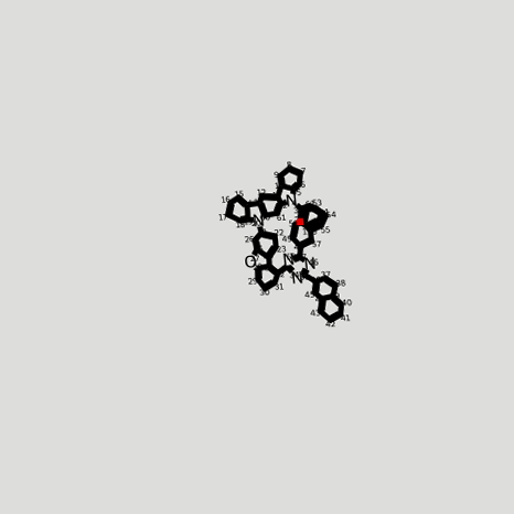 c1ccc(-n2c3ccccc3c3cc4c5ccccc5n(-c5ccc6c(c5)oc5cccc(-c7nc(-c8ccc9ccccc9c8)nc(-c8ccc9ccccc9c8)n7)c56)c4cc32)cc1